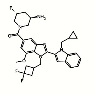 COc1cc(C(=O)N2C[C@H](N)C[C@@H](F)C2)cc2nc(-c3cc4ccccc4n3CC3CC3)n(CC3CC(F)(F)C3)c12